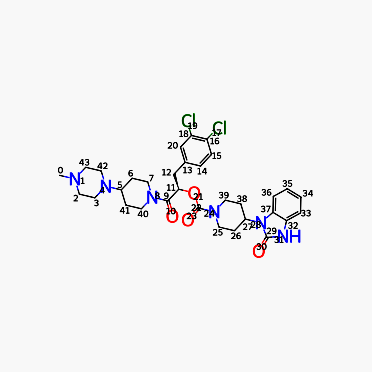 CN1CCN(C2CCN(C(=O)[C@@H](Cc3ccc(Cl)c(Cl)c3)OC(=O)N3CCC(n4c(=O)[nH]c5ccccc54)CC3)CC2)CC1